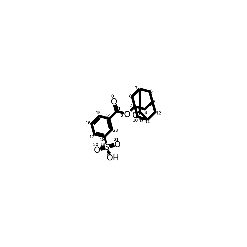 O=C(OC12CC3CC(C1)C(=O)C(C3)C2)c1cccc(S(=O)(=O)O)c1